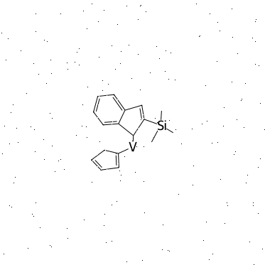 C[Si](C)(C)C1=Cc2ccccc2[CH]1[V][C]1=CC=CC1